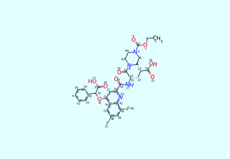 CCOC(=O)N1CCN(C(=O)[C@H](CCC(=O)O)NC(=O)c2cc(OC(C(=O)O)c3ccccc3)c3cc(F)cc(F)c3n2)CC1